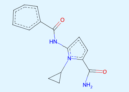 NC(=O)c1ccc(NC(=O)c2ccccc2)n1C1CC1